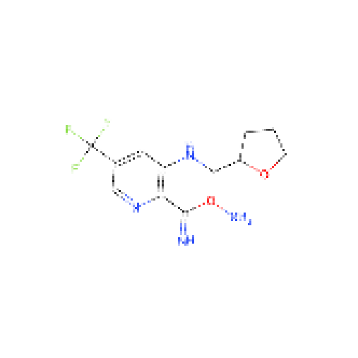 N=C(ON)c1ncc(C(F)(F)F)cc1NCC1CCCO1